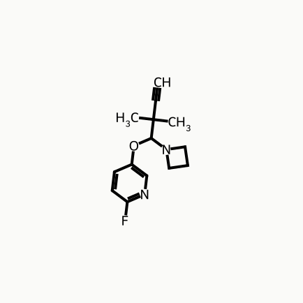 C#CC(C)(C)C(Oc1ccc(F)nc1)N1CCC1